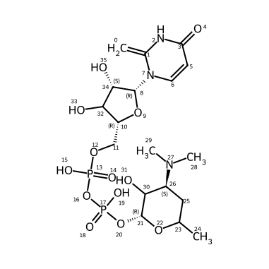 C=C1NC(=O)C=CN1[C@@H]1O[C@H](COP(=O)(O)OP(=O)(O)O[C@H]2OC(C)C[C@H](N(C)C)C2O)C(O)[C@@H]1O